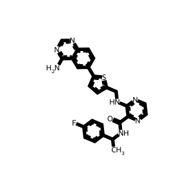 CC(NC(=O)c1nccnc1NCc1ccc(-c2ccc3ncnc(N)c3c2)s1)c1ccc(F)cc1